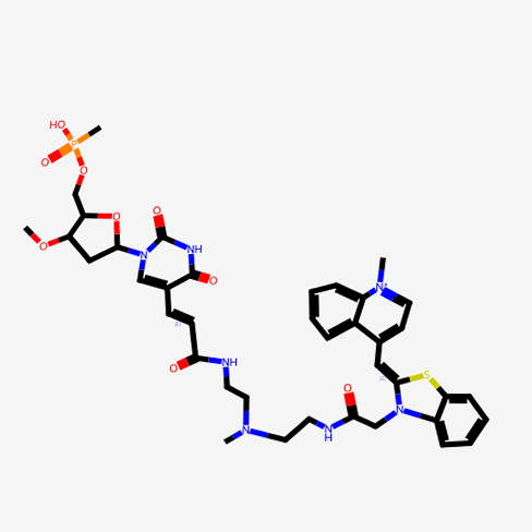 COC1CC(n2cc(/C=C/C(=O)NCCN(C)CCNC(=O)CN3/C(=C/c4cc[n+](C)c5ccccc45)Sc4ccccc43)c(=O)[nH]c2=O)OC1COP(C)(=O)O